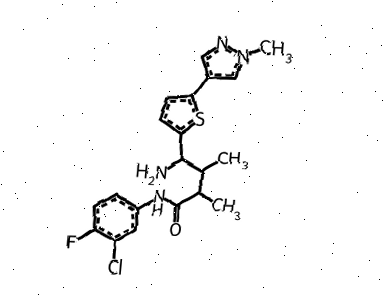 CC(C(=O)Nc1ccc(F)c(Cl)c1)C(C)C(N)c1ccc(-c2cnn(C)c2)s1